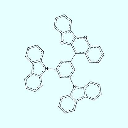 c1ccc2c(-c3cc(-n4c5ccccc5c5ccccc54)cc(-n4c5ccccc5c5ccccc54)c3)c3oc4ccccc4c3nc2c1